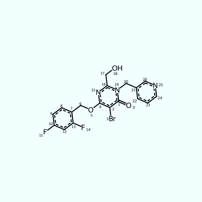 O=c1c(Br)c(OCc2ccc(F)cc2F)nc(CO)n1Cc1cccnc1